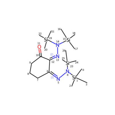 C[Si](C)(C)N(/N=C1/CCCC(=O)/C1=N\N([Si](C)(C)C)[Si](C)(C)C)[Si](C)(C)C